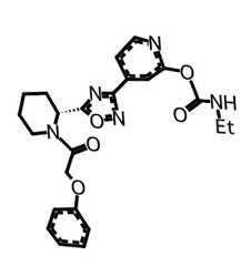 CCNC(=O)Oc1cc(-c2noc([C@H]3CCCCN3C(=O)COc3ccccc3)n2)ccn1